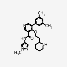 Cc1cc(C)cc(-c2cncc(C(=O)Nc3cnn(C)c3)c2OCCC2CCCCN2)c1